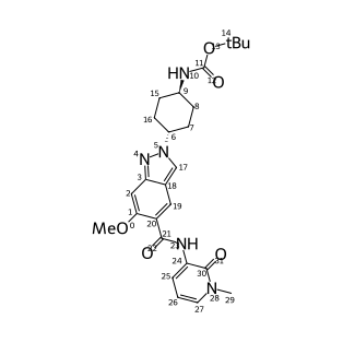 COc1cc2nn([C@H]3CC[C@H](NC(=O)OC(C)(C)C)CC3)cc2cc1C(=O)Nc1cccn(C)c1=O